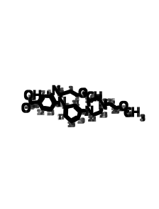 COCCc1nc2cc(C(=O)O)ccc2n1-c1cccc(N2CCN(CCOC)CC2)c1